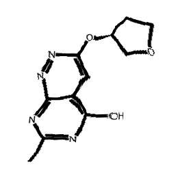 Cc1nc(O)c2cc(O[C@H]3CCOC3)nnc2n1